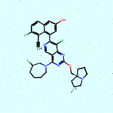 C#Cc1c(F)ccc2cc(O)cc(-c3ncc4c(N5CCCCC(F)C5)nc(OC[C@@]56CCCN5C[C@H](F)C6)nc4c3F)c12